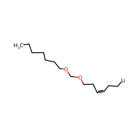 [Li][CH2]C/C=C\CCOCOCCCCCCC